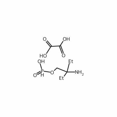 CCC(N)(CC)CO[PH](=O)O.O=C(O)C(=O)O